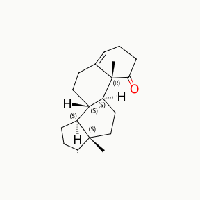 C[C@]12C(=O)CCC=C1CC[C@@H]1[C@@H]2CC[C@]2(C)[CH]CC[C@@H]12